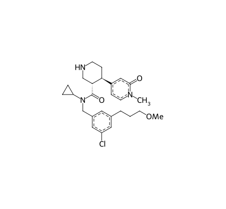 COCCCc1cc(Cl)cc(CN(C(=O)[C@@H]2CNCC[C@H]2c2ccn(C)c(=O)c2)C2CC2)c1